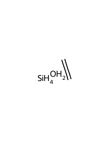 C=C.O.[SiH4]